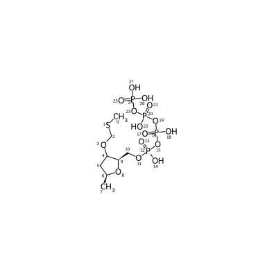 CSCOC1C[C@H](C)O[C@@H]1COP(=O)(O)OP(=O)(O)OP(=O)(O)OP(=O)(O)O